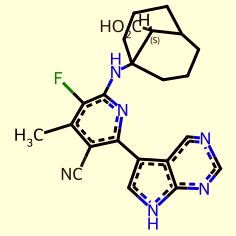 Cc1c(F)c(NC23CCCC(CCC2)[C@@H]3C(=O)O)nc(-c2c[nH]c3ncncc23)c1C#N